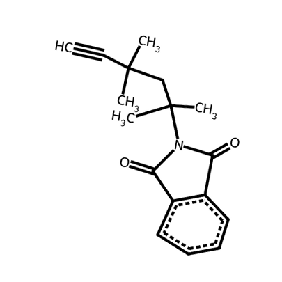 C#CC(C)(C)CC(C)(C)N1C(=O)c2ccccc2C1=O